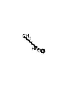 CCCCCCCCCCCNCOc1ccccc1